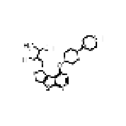 NC(O)C(O)C[C@H]1CCc2sc3ncnc(O[C@H]4CC[C@H](N5CCNCC5)CC4)c3c21